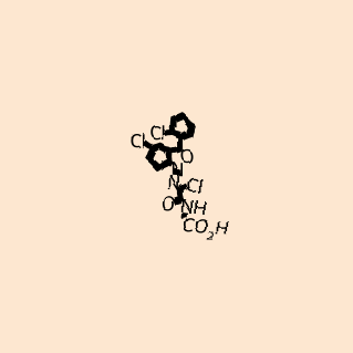 O=C(O)CNC(=O)C(Cl)N=Nc1ccc(Cl)cc1C(=O)c1ccccc1Cl